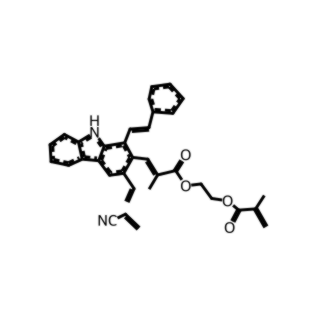 C=CC#N.C=Cc1cc2c([nH]c3ccccc32)c(C=Cc2ccccc2)c1C=C(C)C(=O)OCCOC(=O)C(=C)C